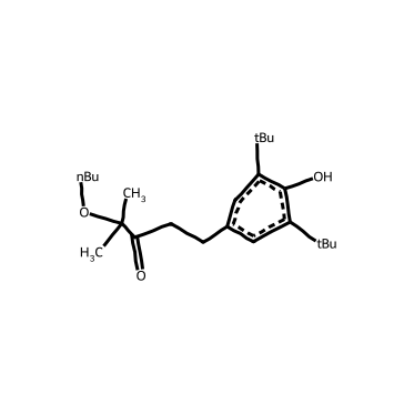 CCCCOC(C)(C)C(=O)CCc1cc(C(C)(C)C)c(O)c(C(C)(C)C)c1